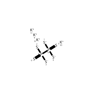 S=P([S-])([S-])P(=S)([S-])[S-].[K+].[K+].[K+].[K+]